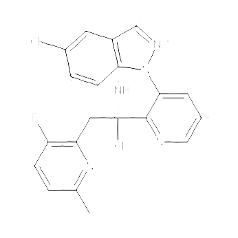 Cc1ccc(F)c(C[C@](N)(Cl)c2ncccc2-n2ncc3cc(Cl)ccc32)n1